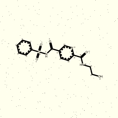 O=C(NS(=O)(=O)c1ccccc1)c1ccc(C(=O)NCCO)nc1